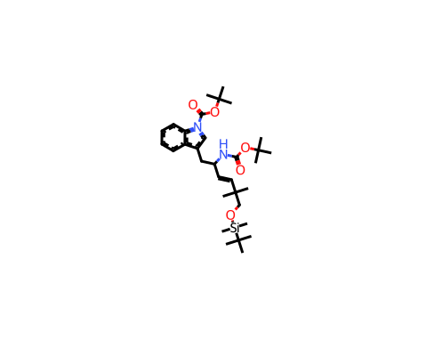 CC(C)(/C=C/C(Cc1cn(C(=O)OC(C)(C)C)c2ccccc12)NC(=O)OC(C)(C)C)CO[Si](C)(C)C(C)(C)C